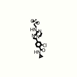 CS(=O)(=O)CCNc1nccn2c(-c3ccc(C(=O)NC4CC4)c(Cl)c3)cnc12